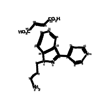 NCCCn1nc(-c2ccncc2)c2cnccc21.O=C(O)/C=C/C(=O)O